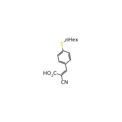 CCCCCCSc1ccc(C=C(C#N)C(=O)O)cc1